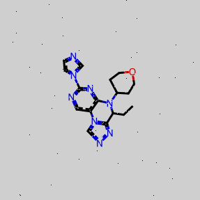 CCC1c2nncn2-c2cnc(-n3ccnc3)nc2N1C1CCOCC1